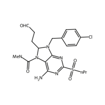 CCCS(=O)(=O)c1nc(N)c2c(n1)N(Cc1ccc(Cl)cc1)C(CCC=O)N2C(=O)NC